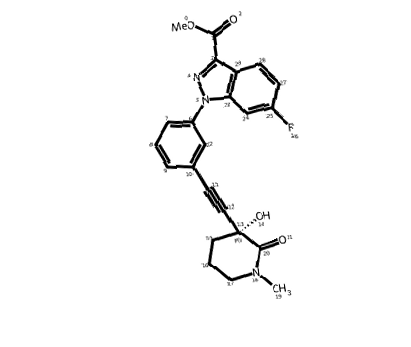 COC(=O)c1nn(-c2cccc(C#C[C@]3(O)CCCN(C)C3=O)c2)c2cc(F)ccc12